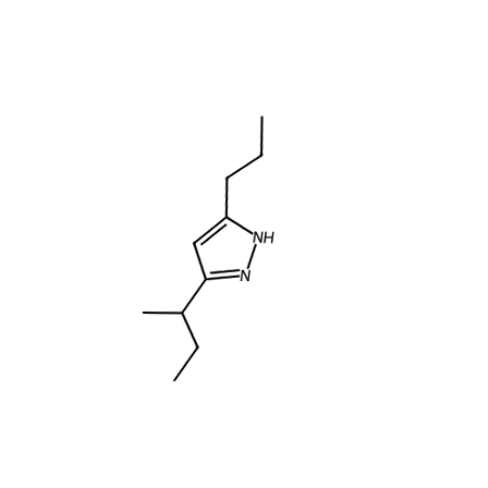 CCCc1cc(C(C)CC)n[nH]1